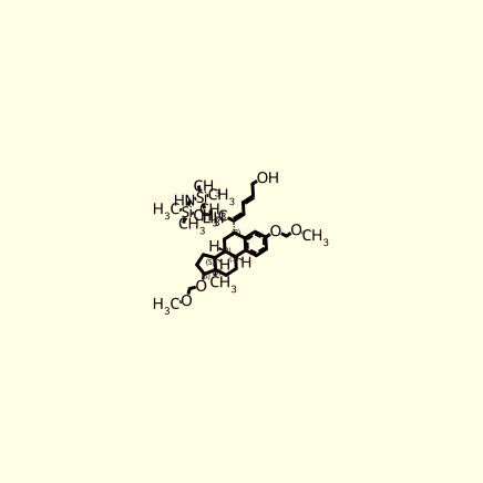 COCOc1ccc2c(c1)[C@@H](C(C)=CC=CCO)C[C@@H]1[C@@H]2CC[C@]2(C)[C@@H](OCOC)CC[C@@H]12.C[Si](C)(C)N[Si](C)(C)C.[LiH]